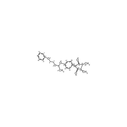 CC(OCCOc1ccccc1)Oc1ccc(N2C(=O)C(C)C(C)C2=O)cc1